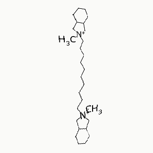 C[N+]1(CCCCCCCCCC[N+]2(C)CC3CCCCC3C2)CC2CCCCC2C1